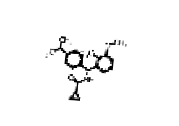 COc1cccc([C@H](NC(=O)C2CC2)c2ccc(C(C)C)cc2)c1C